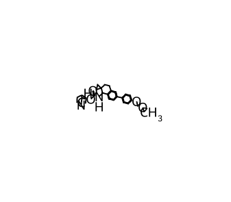 COCOc1ccc(-c2ccc3c(c2)CCC2(CC2)C3NC(=O)O[C@H]2CN3CCC2CC3)cc1